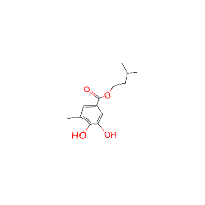 Cc1cc(C(=O)OCCC(C)C)cc(O)c1O